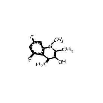 C=C1C(O)=C(C)N(C)c2cc(F)cc(F)c21